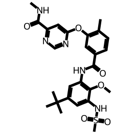 CNC(=O)c1cc(Oc2cc(C(=O)Nc3cc(C(C)(C)C)cc(NS(C)(=O)=O)c3OC)ccc2C)ncn1